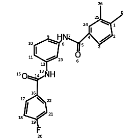 Cc1ccc(C(=O)Nc2cccc(NC(=O)c3ccc(F)cc3)c2)cc1C